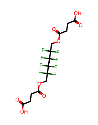 O=C(O)CCC(=O)OCC(F)(F)C(F)(F)C(F)(F)C(F)(F)COC(=O)CCC(=O)O